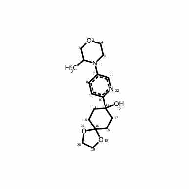 CC1COCCN1c1ccc(C2(O)CCC3(CC2)OCCO3)nc1